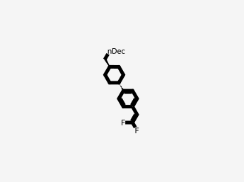 CCCCCCCCCCC[C@H]1CC[C@H](c2ccc(C=C(F)F)cc2)CC1